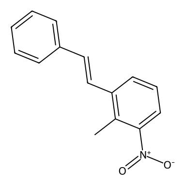 Cc1c(/C=C/c2ccccc2)cccc1[N+](=O)[O-]